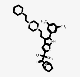 Cc1cc(C)cc(-c2[nH]c3sc(C(C)(C)C(=O)N4C5CCC4CC5)cc3c2CCN2CCN(CCN3CCCCC3)CC2)c1